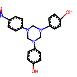 O=Nc1ccc(N2CN(c3ccc(O)cc3)CN(c3ccc(O)cc3)C2)cc1